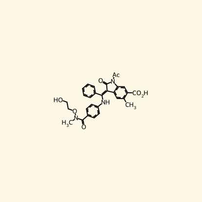 CC(=O)N1C(=O)C(=C(Nc2ccc(C(=O)N(C)OCCO)cc2)c2ccccc2)c2cc(C)c(C(=O)O)cc21